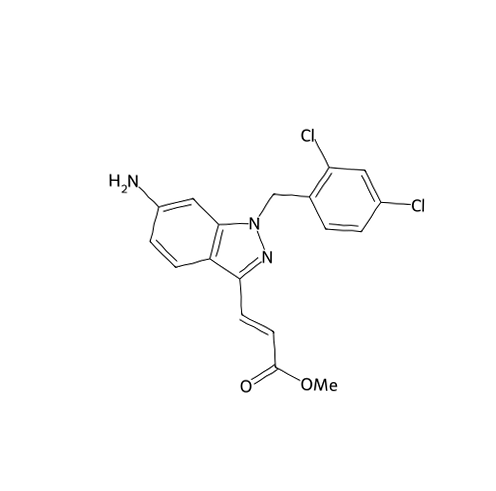 COC(=O)C=Cc1nn(Cc2ccc(Cl)cc2Cl)c2cc(N)ccc12